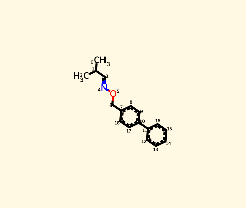 CC(C)C=NOCc1ccc(-c2ccccc2)cc1